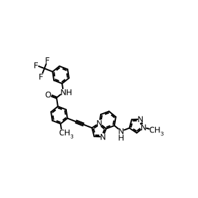 Cc1ccc(C(=O)Nc2cccc(C(F)(F)F)c2)cc1C#Cc1cnc2c(Nc3cnn(C)c3)cccn12